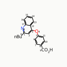 CCCCc1cc(Oc2ccc(C(=O)O)cc2)c2ccccc2n1